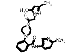 Cc1cc(C)n(CC(=O)N2CCN(c3ccccc3C(=O)Nc3ccc(N)nc3)CC2)n1